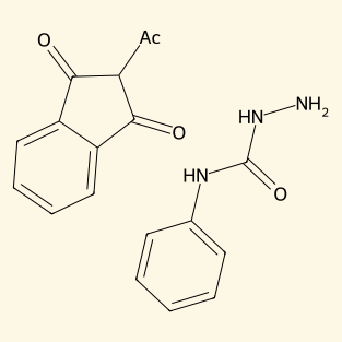 CC(=O)C1C(=O)c2ccccc2C1=O.NNC(=O)Nc1ccccc1